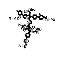 CCCCCCOc1ccc(-c2ccc(-c3c(CC(CC)CCCC)c4cc(-c5ccc(C)cc5OCCCCCC)ccn4c3-c3ccc(C4=C5C(=O)N(CC(CC)CCCC)C(c6ccc(-c7ccc(/C=C(/C)C#N)o7)cc6)=C5C(=O)N4CC(CC)CCCC)s3)cc2)c(C)c1